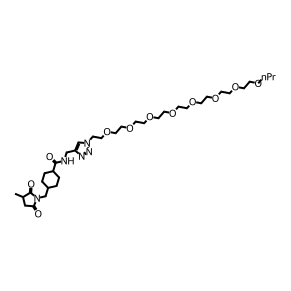 CCCOCCOCCOCCOCCOCCOCCOCCOCCn1cc(CNC(=O)C2CCC(CN3C(=O)CC(C)C3=O)CC2)nn1